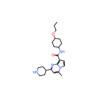 CCCOC1CCC(NC(=O)c2ccn3c(C)cc(C4CCNCC4)nc23)CC1